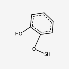 Oc1ccccc1OS